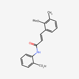 COc1c(C)cccc1C=CC(=O)Nc1ccccc1C(=O)O